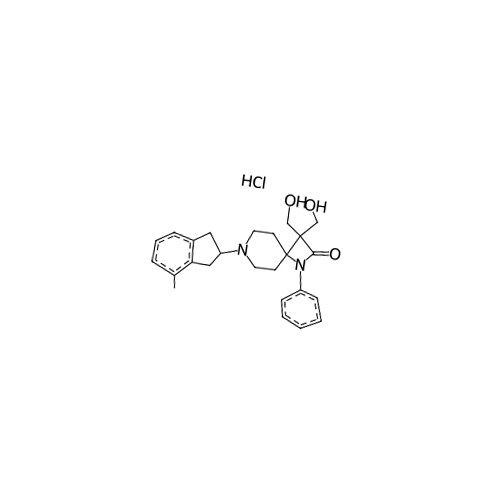 Cc1cccc2c1CC(N1CCC3(CC1)N(c1ccccc1)C(=O)C3(CO)CO)C2.Cl